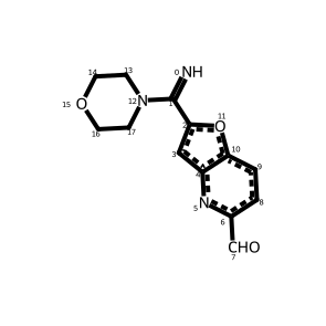 N=C(c1cc2nc(C=O)ccc2o1)N1CCOCC1